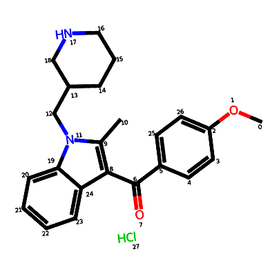 COc1ccc(C(=O)c2c(C)n(CC3CCCNC3)c3ccccc23)cc1.Cl